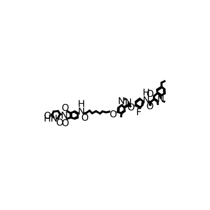 CCc1ccc2c(c1)c(=O)c(C(=O)Nc1ccc(Oc3ncnc4cc(OCCCCCCCC(=O)Nc5ccc6c(c5)C(=O)N(C5CCC(=O)NC5=O)C6=O)c(C)cc34)c(F)c1)c(C)n2C